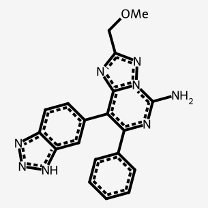 COCc1nc2c(-c3ccc4nn[nH]c4c3)c(-c3ccccc3)nc(N)n2n1